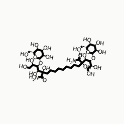 NC(=O)[C@](O)(CCCCCCCCC[C@@](O)(C(N)=O)[C@@H](O)[C@H](O[C@@H]1O[C@H](CO)[C@H](O)[C@H](O)[C@H]1O)[C@H](O)CO)[C@@H](O)[C@H](O[C@@H]1O[C@H](CO)[C@H](O)[C@H](O)[C@H]1O)[C@H](O)CO